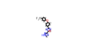 FC(F)(F)c1ccc(Oc2ccc(-c3noc(-c4nc[nH]n4)n3)cc2)cc1